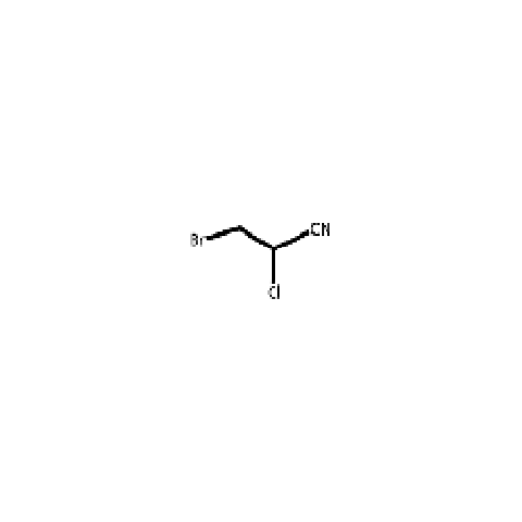 N#CC(Cl)CBr